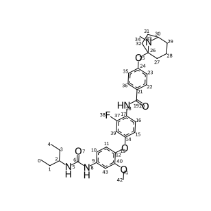 CCC(CC)NC(=O)Nc1ccc(Oc2ccc(NC(=O)c3ccc(OC45CCCC(CC4)N5C)cc3)c(F)c2)c(OC)c1